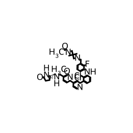 COc1nc(-c2ccnc(-c3cccc(Nc4cccc(CN5CC6(C5)CN(C(C)=O)C6)c4F)c3Cl)c2Cl)ccc1CNC[C@@H]1CCC(=O)N1